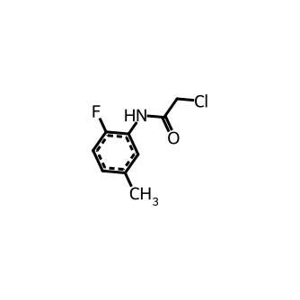 Cc1ccc(F)c(NC(=O)CCl)c1